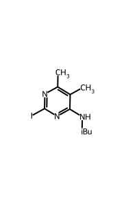 CCC(C)Nc1nc(I)nc(C)c1C